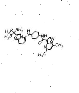 BC(B)(P)c1cn2c(n1)CCC=C2NC1CCC(NC(=O)c2cnn3c(C)cc(C)nc23)CC1